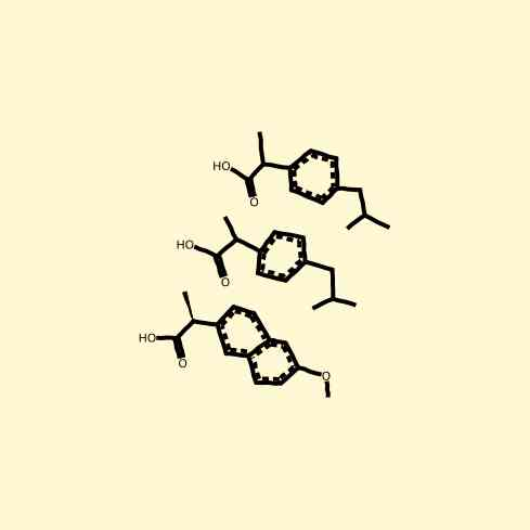 CC(C)Cc1ccc(C(C)C(=O)O)cc1.CC(C)Cc1ccc(C(C)C(=O)O)cc1.COc1ccc2cc([C@H](C)C(=O)O)ccc2c1